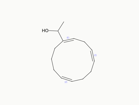 CC(O)/C1=C/C/C=C\CC/C=C\CCC1